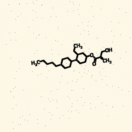 C=C(CO)C(=O)OC1CCC(C2CCC(CCCCC)CC2)C(CC)C1